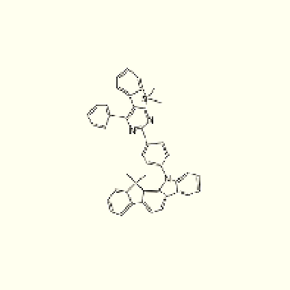 CC1(C)c2ccccc2-c2ccc3c4ccccc4n(-c4ccc(-c5nc(-c6ccccc6)c6c(n5)[Si](C)(C)c5ccccc5-6)cc4)c3c21